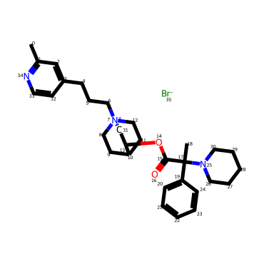 Cc1cc(CCC[N+]23CCC(CC2)C(OC(=O)C(C)(c2ccccc2)N2CCCCC2)C3)ccn1.[Br-]